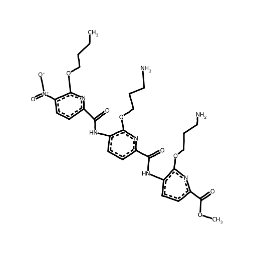 CCCCOc1nc(C(=O)Nc2ccc(C(=O)Nc3ccc(C(=O)OC)nc3OCCCN)nc2OCCCN)ccc1[N+](=O)[O-]